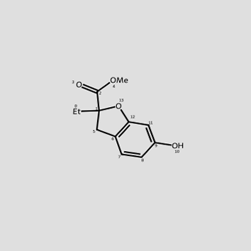 CCC1(C(=O)OC)Cc2ccc(O)cc2O1